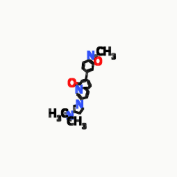 Cc1nc2ccc(C3=C\C(=O)N4C=C(N5CC[C@H](N(C)C)C5)C=C\C4=C/C=C/3)cc2o1